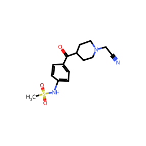 CS(=O)(=O)Nc1ccc(C(=O)C2CCN(CC#N)CC2)cc1